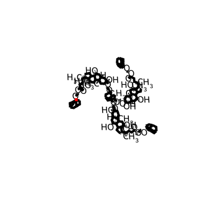 C[C@H](CCC(=O)OCOC1C2CC3CC(C2)CC1C3)[C@H]1CCC2C3C(C[C@H](O)[C@@]21C)[C@@]1(C)CC[C@@](O)(OCOC2C4CC5CC(OCO[C@]6(O)CC[C@]7(C)C8C[C@H](O)[C@@]9(C)C(CC[C@@H]9[C@H](C)CCC(=O)OCOC9C%10CC%11CC(C%10)CC9C%11)C8[C@H](O)C[C@@H]7C6)(C4)CC2(OCO[C@]2(O)CC[C@]4(C)C6C[C@H](O)[C@@]7(C)C(CC[C@@H]7[C@H](C)CCC(=O)OCOC7C8CC9CC(C8)CC7C9)C6[C@H](O)C[C@@H]4C2)C5)C[C@H]1C[C@H]3O